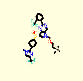 Cn1cc(C(F)(F)F)nc1-c1ccc([S+]([O-])c2cn(COCC[Si](C)(C)C)c3cnc(-c4ccccc4C(F)(F)F)nc23)cc1